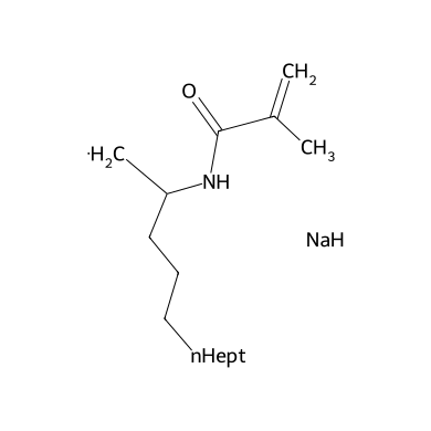 [CH2]C(CCCCCCCCCC)NC(=O)C(=C)C.[NaH]